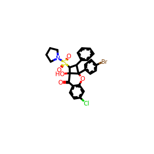 O=C1c2ccc(Cl)cc2OC2(c3ccc(Br)cc3)C(c3ccccc3)C(S(=O)(=O)N3CCCC3)C12O